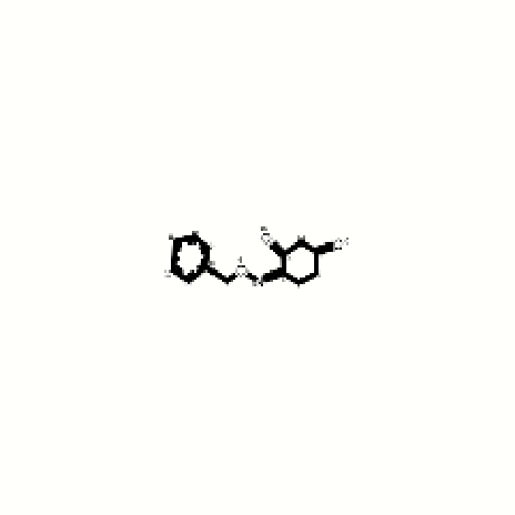 O=C1CCC(=NOCc2ccccc2)C(=O)C1